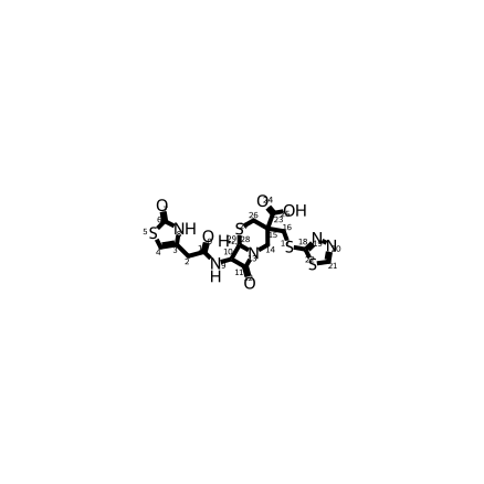 O=C(Cc1csc(=O)[nH]1)NC1C(=O)N2CC(CSc3nncs3)(C(=O)O)CS[C@H]12